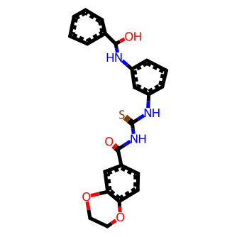 O=C(NC(=S)Nc1cccc(NC(O)c2ccccc2)c1)c1ccc2c(c1)OCCO2